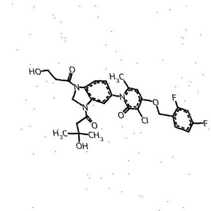 Cc1cc(OCc2ccc(F)cc2F)c(Cl)c(=O)n1-c1ccc2c(c1)N(C(=O)CC(C)(C)O)CN2C(=O)CCO